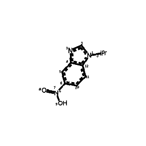 CC(C)n1cnc2cc([N+](=O)O)ccc21